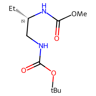 CC[C@@H](CNC(=O)OC(C)(C)C)NC(=O)OC